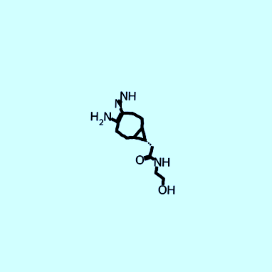 N=N/C1=C(\N)CCC2C(CC1)[C@@H]2CC(=O)NCCO